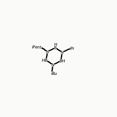 CCCC(C)N1BN(C(C)C)BN(C(C)CC)B1